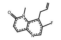 C=CCc1c(F)cnc2ccc(=O)n(C)c12